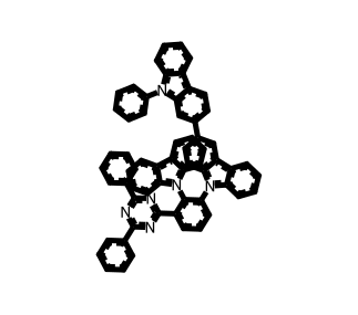 c1ccc(-c2nc(-c3ccccc3)nc(-c3cccc(-n4c5ccccc5c5cc(-c6ccc7c8ccccc8n(-c8ccccc8)c7c6)ccc54)c3-n3c4ccccc4c4ccccc43)n2)cc1